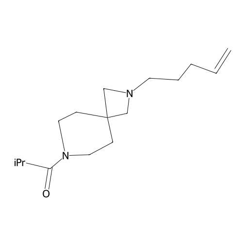 C=CCCCN1CC2(CCN(C(=O)C(C)C)CC2)C1